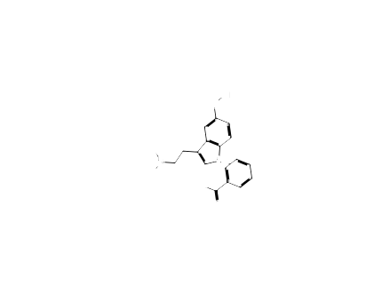 COc1ccc2[nH]cc(CCN(C)C)c2c1.O=C(O)c1ccccc1